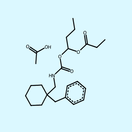 CC(=O)O.CCCC(OC(=O)CC)OC(=O)NCC1(Cc2ccccc2)CCCCC1